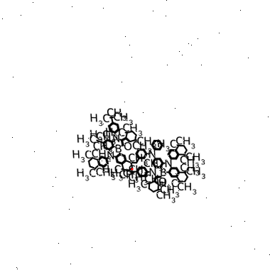 Cc1cc(C(C)(C)C)ccc1N1c2cc(N(c3ccccc3)c3cccc(CC4(C)CCC(C)(C)c5cc6c(cc54)B4c5oc7c(c5N(c5ccc(C(C)(C)C)cc5C)c5cc(C(C)(C)C)cc(c54)N6c4ccc5c(c4)C(C)(C)CCC5(C)C)C(C)(C)CCC7(C)C)c3)cc3c2B(c2cc4c(cc2N3c2ccc3c(c2)C(C)(C)CCC3(C)C)C(C)(C)CCC4(C)C)c2oc3c(c21)C(C)(C)CCC3(C)C